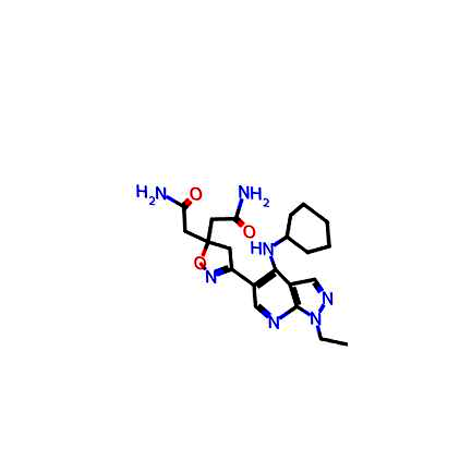 CCn1ncc2c(NC3CCCCC3)c(C3=NOC(CC(N)=O)(CC(N)=O)C3)cnc21